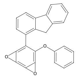 c1ccc(Oc2c(-c3cccc4c3Cc3ccccc3-4)c3oc3c3oc23)cc1